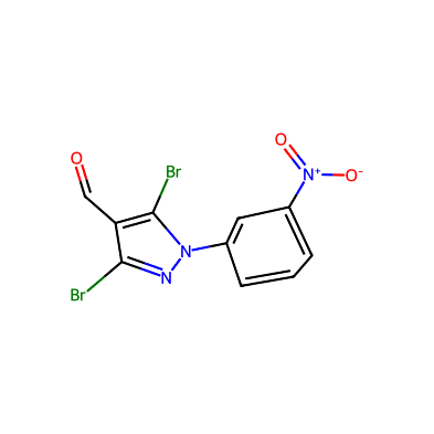 O=Cc1c(Br)nn(-c2cccc([N+](=O)[O-])c2)c1Br